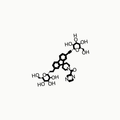 O=C(c1cnccn1)N1CCC2(CC1)c1cc(C#C[C@H]3O[C@H](CO)[C@@H](O)[C@H](O)[C@@H]3O)ccc1-c1ccc(CC[C@H]3O[C@H](CO)[C@@H](O)[C@H](O)[C@@H]3O)cc12